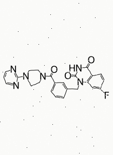 O=C(c1cccc(Cn2c(=O)[nH]c(=O)c3ccc(F)cc32)c1)N1CCN(c2ncccn2)CC1